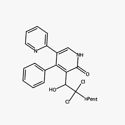 CCCCCC(Cl)(Cl)C(O)c1c(-c2ccccc2)c(-c2ccccn2)c[nH]c1=O